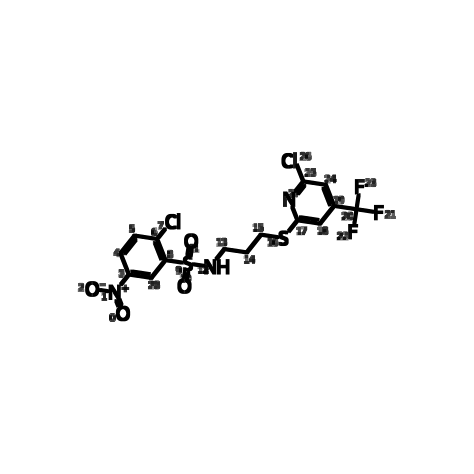 O=[N+]([O-])c1ccc(Cl)c(S(=O)(=O)NCCCSc2cc(C(F)(F)F)cc(Cl)n2)c1